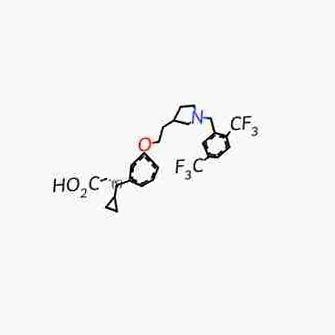 O=C(O)C[C@H](c1cccc(OCCC2CCN(Cc3cc(C(F)(F)F)ccc3C(F)(F)F)C2)c1)C1CC1